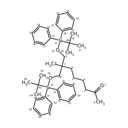 CC(=O)CCCCC(C)(CO[Si](c1ccccc1)(c1ccccc1)C(C)(C)C)CO[Si](c1ccccc1)(c1ccccc1)C(C)(C)C